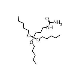 CCCCCO[Si](CCCNC(N)=O)(OCCCCC)OCCCCC